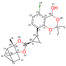 CC1(C)Oc2c([C@H]3C[C@H]3B3OC45CC6CC(C64C)[C@]5(C)O3)ccc(F)c2C(O)O1